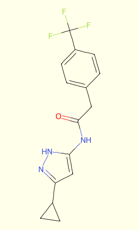 O=C(Cc1ccc(C(F)(F)F)cc1)Nc1cc(C2CC2)n[nH]1